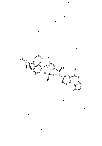 O=C=c1[nH]c2ncc(-n3ncc(C(=O)Nc4ccc(-n5nccn5)c(C(F)F)c4)c3C(F)(F)F)c3cccc1c23